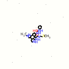 CCn1cc(-c2ccnc3[nH]c(C(=O)NCCSC)cc23)c(-c2ccc(NC(O)Nc3ccccc3)cc2)n1